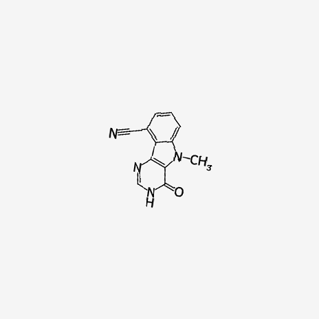 Cn1c2cccc(C#N)c2c2nc[nH]c(=O)c21